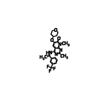 Cc1nc(N[C@H](C)c2cccc(C(F)(F)F)c2)c2cc(OC3CCOCC3)c(=O)n(C)c2n1